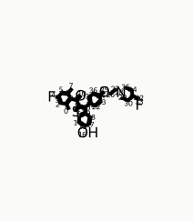 Cc1cc(F)cc(C)c1C(=O)c1sc2cc(O)ccc2c1-c1ccc(OCCN2CCC(CF)CC2)cc1